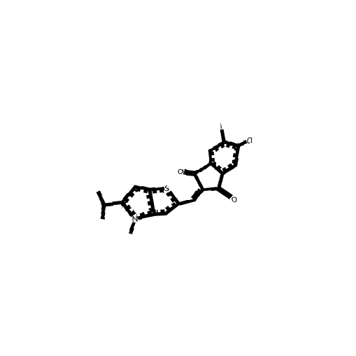 CC(C)c1cc2sc(/C=C3/C(=O)c4cc(Cl)c(I)cc4C3=O)cc2n1C